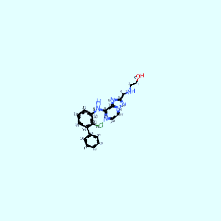 OCCNCc1nc2c(Nc3cccc(-c4ccccc4)c3Cl)nccn2n1